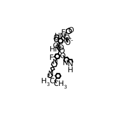 CC(C)c1ccccc1[C@@H]1CCCN1C1CC2(CCN(c3cc(Oc4cnc5[nH]ccc5c4)c(C(=O)NS(=O)(=O)c4cc([N+](=O)[O-])c(NCC5(F)CCOCC5)c5c4CCO5)cc3F)CC2)C1